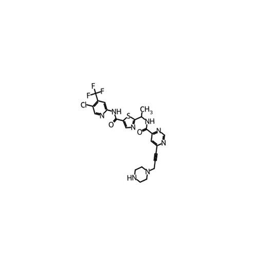 CC(NC(=O)c1cc(C#CCN2CCNCC2)ncn1)c1ncc(C(=O)Nc2cc(C(F)(F)F)c(Cl)cn2)s1